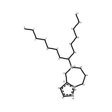 CCCCCCCC(CCCCCC)N1CCCn2nccc2C1